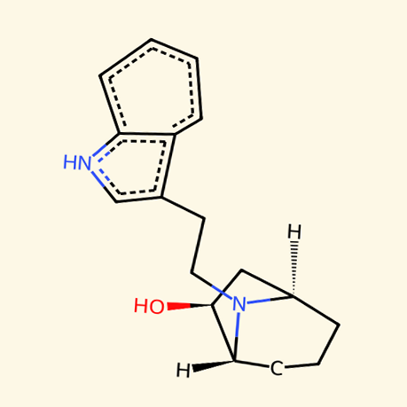 O[C@H]1C[C@H]2CCC[C@H]1N2CCc1c[nH]c2ccccc12